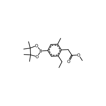 CCc1cc(B2OC(C)(C)C(C)(C)O2)cc(C)c1CC(=O)OC